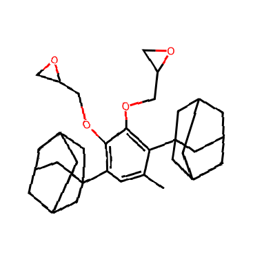 Cc1cc(C23CC4CC(CC(C4)C2)C3)c(OCC2CO2)c(OCC2CO2)c1C12CC3CC(CC(C3)C1)C2